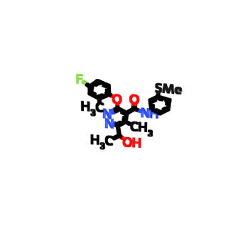 CSc1cccc(NC(=O)c2c(Oc3ccc(F)cc3C)nnc(C(C)O)c2C)c1